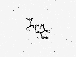 CSC(=NOC(=O)N(C)C)C(N)=O